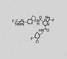 O=C(NCc1ccc(F)c(Cl)c1)c1cc(C(=O)N[C@H]2CCc3cc(-c4n[nH]c(C(F)(F)F)n4)ccc32)n2ncc(F)c2n1